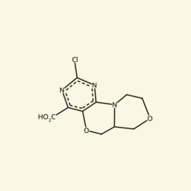 O=C(O)c1nc(Cl)nc2c1OCC1COCCN21